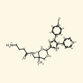 CC1(CNC(=O)CCCN)COC(c2nc(-c3ccc(F)cc3)c(-c3ccncc3)[nH]2)OC1